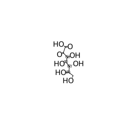 O=C(O)C(=O)[C@@H](O)[C@@H](O)[C@H](O)[C@H](O)CO